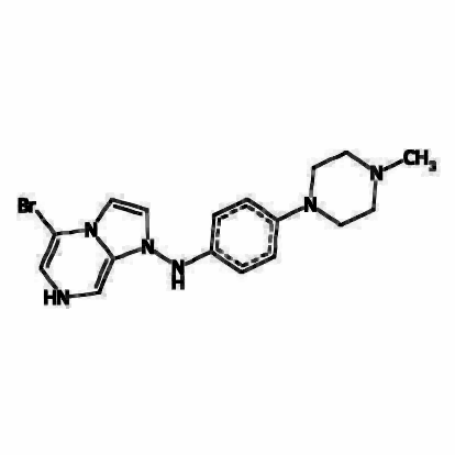 CN1CCN(c2ccc(NN3C=CN4C(Br)=CNC=C34)cc2)CC1